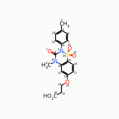 Cc1ccc(N2C(=O)N(C)c3cc(OCCC(=O)O)ccc3S2(=O)=O)cc1